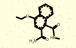 CCOc1cc(C(N)=O)c(C(=O)NC)c2ccccc12